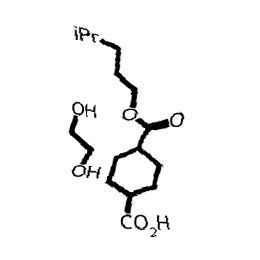 CC(C)CCCOC(=O)C1CCC(C(=O)O)CC1.OCCO